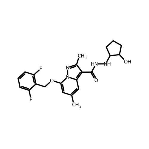 Cc1cc(OCc2c(F)cccc2F)n2nc(C)c(C(=O)NNC3CCCC3O)c2c1